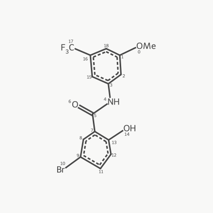 COc1cc(NC(=O)c2cc(Br)ccc2O)cc(C(F)(F)F)c1